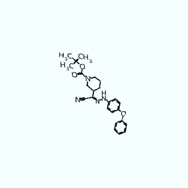 CC(C)(C)OC(=O)N1CCCC(/C(C#N)=N\Nc2ccc(Oc3ccccc3)cc2)C1